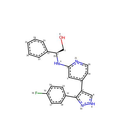 OC[C@@H](Nc1cc(-c2c[nH]nc2-c2ccc(F)cc2)ccn1)c1ccccc1